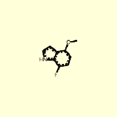 COc1ccc(F)c2[nH]ccc12